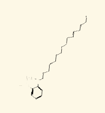 CCCCCCCCCCCCCCCCP(Br)c1ccccc1O